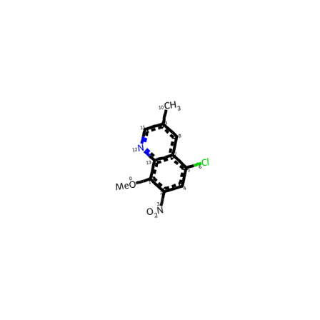 COc1c([N+](=O)[O-])cc(Cl)c2cc(C)cnc12